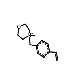 C=Cc1ccc(C[N+]2(C)CCOCC2)cc1